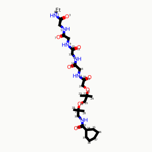 CCNC(=O)CNC(=O)CNC(=O)CNC(=O)CNC(=O)COC(C)(C)COC(C)(C)CNC(=O)C1CCCCC1